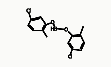 Cc1ccc(Cl)cc1OBOc1cc(Cl)ccc1C